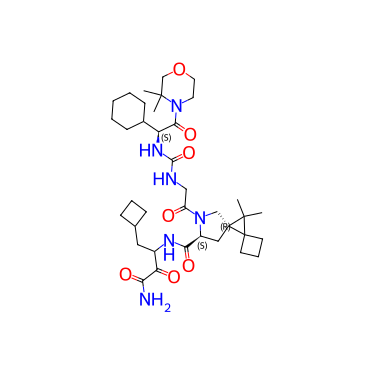 CC1(C)COCCN1C(=O)[C@@H](NC(=O)NCC(=O)N1C[C@]2(C[C@H]1C(=O)NC(CC1CCC1)C(=O)C(N)=O)C(C)(C)C21CCC1)C1CCCCC1